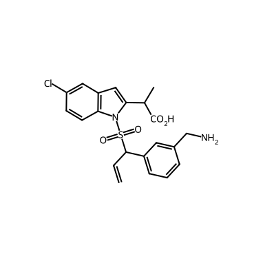 C=CC(c1cccc(CN)c1)S(=O)(=O)n1c(C(C)C(=O)O)cc2cc(Cl)ccc21